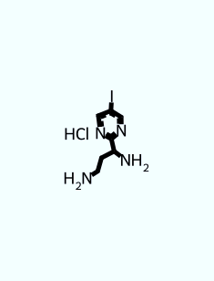 Cl.NCCC(N)c1ncc(I)cn1